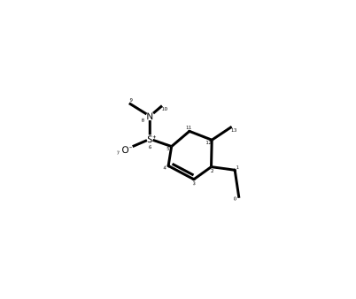 CCC1C=CC([S+]([O-])N(C)C)CC1C